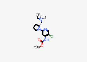 CCN(C[C@H]1CCCN1c1cc(NC(=O)OC(C)(C)C)c(Cl)cn1)CC(F)(F)F